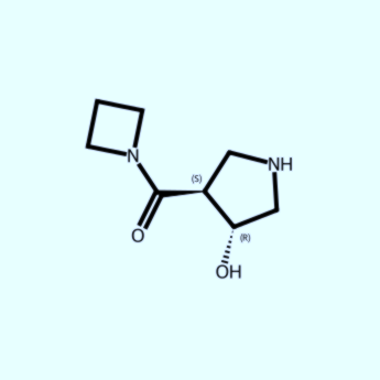 O=C([C@H]1CNC[C@@H]1O)N1CCC1